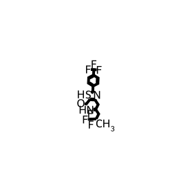 CC(CC(=N)Cc1nc(-c2ccc(C(F)(F)F)cc2)sc1CO)C(F)(F)F